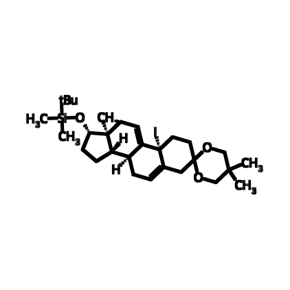 CC1(C)COC2(CC[C@@]3(I)C(=CC[C@@H]4C3=CC[C@]3(C)[C@@H](O[Si](C)(C)C(C)(C)C)CC[C@@H]43)C2)OC1